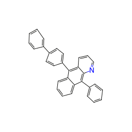 c1ccc(-c2ccc(-c3c4ccccc4c(-c4ccccc4)c4ncccc34)cc2)cc1